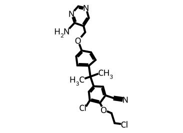 CC(C)(c1ccc(OCc2cncnc2N)cc1)c1cc(Cl)c(OCCCl)c(C#N)c1